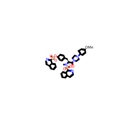 COc1ccc(N2CCN(C(=O)[C@H](Cc3ccc(OS(=O)(=O)c4nccc5ccccc45)cc3)N(C)S(=O)(=O)c3nccc4ccccc34)CC2)cc1